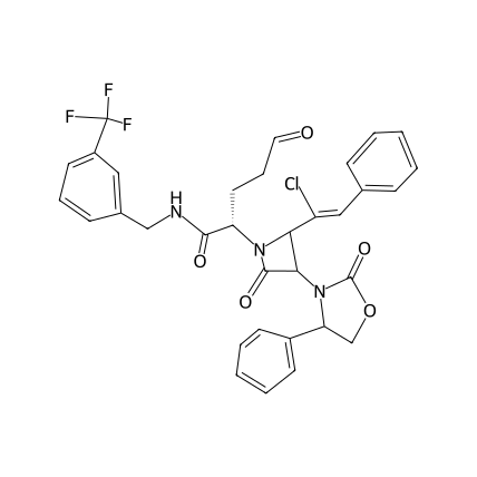 O=CCC[C@@H](C(=O)NCc1cccc(C(F)(F)F)c1)N1C(=O)C(N2C(=O)OCC2c2ccccc2)C1/C(Cl)=C/c1ccccc1